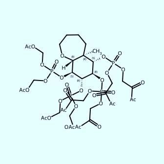 CC(=O)OCOP(=O)(OCOC(C)=O)O[C@@H]1[C@@H](OP(=O)(OCOC(C)=O)OCOC(C)=O)[C@@H]2OCCCC[C@@]2(C)[C@H](OP(=O)(OCC(=O)C(C)=O)OCC(=O)C(C)=O)[C@H]1OP(=O)(OCC(=O)C(C)=O)OCC(=O)C(C)=O